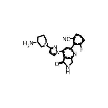 N#Cc1cccc(F)c1-c1cc(-n2ccc(N3CCC[C@H](N)C3)n2)c2c(n1)CNC2=O